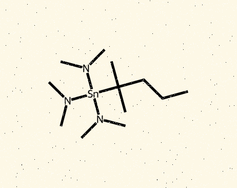 CCC[C](C)(C)[Sn]([N](C)C)([N](C)C)[N](C)C